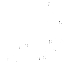 C[C@H]1c2nn(C)c(-c3cc(C(F)(F)F)nn3C)c2CCN1C(=O)c1cnc2cc(F)cc(F)c2c1